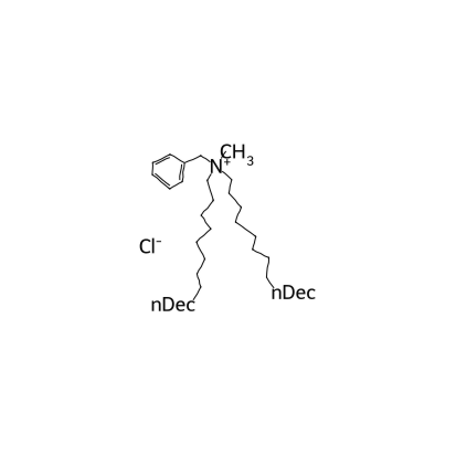 CCCCCCCCCCCCCCCCCC[N+](C)(CCCCCCCCCCCCCCCCCC)Cc1ccccc1.[Cl-]